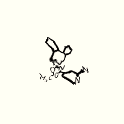 CCO/C(=N\C(=O)c1ccnc(C#N)c1)N1Cc2ccccc2-c2ccccc2C1